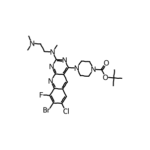 CN(C)CCN(C)c1nc(N2CCN(C(=O)OC(C)(C)C)CC2)c2cc3cc(Cl)c(Br)c(F)c3nc2n1